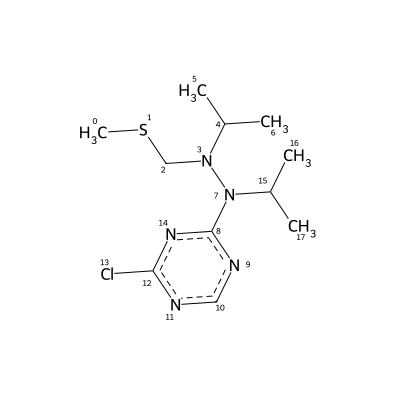 CSCN(C(C)C)N(c1ncnc(Cl)n1)C(C)C